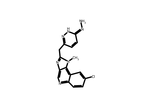 Cn1c(Cc2cc/c(=N/N)[nH]n2)nc2cnc3ccc(Cl)cc3c21